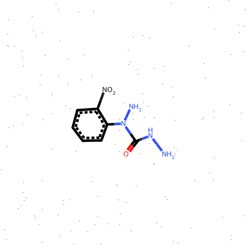 NNC(=O)N(N)c1ccccc1[N+](=O)[O-]